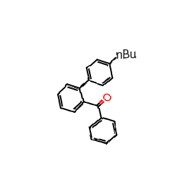 CCCCc1ccc(-c2ccccc2C(=O)c2ccccc2)cc1